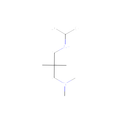 CCC(CC)NCC(C)(C)CN(C)C